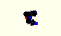 O=C(NOC(=O)N(Cc1ccccc1)Cc1cccnc1)c1cccc(N2CCNCC2)c1